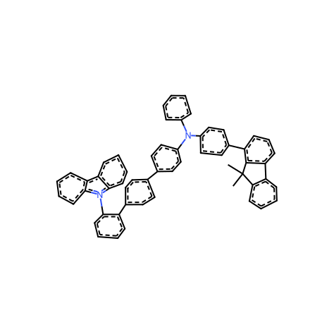 CC1(C)c2ccccc2-c2cccc(-c3ccc(N(c4ccccc4)c4ccc(-c5ccc(-c6ccccc6-n6c7ccccc7c7ccccc76)cc5)cc4)cc3)c21